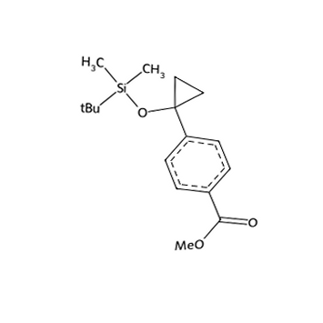 COC(=O)c1ccc(C2(O[Si](C)(C)C(C)(C)C)CC2)cc1